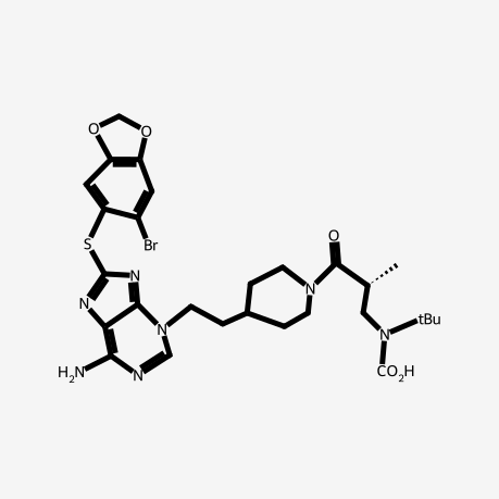 C[C@H](CN(C(=O)O)C(C)(C)C)C(=O)N1CCC(CCn2cnc(N)c3nc(Sc4cc5c(cc4Br)OCO5)nc2-3)CC1